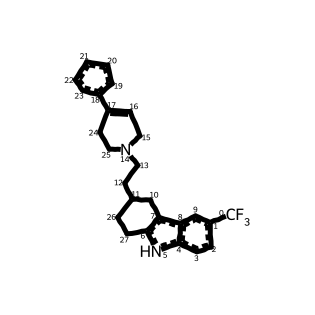 FC(F)(F)c1ccc2[nH]c3c(c2c1)CC(CCN1CC=C(c2ccccc2)CC1)CC3